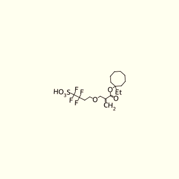 C=C(COCCC(F)(F)C(F)(F)S(=O)(=O)O)C(=O)OC1(CC)CCCCCCC1